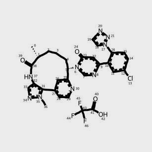 C[C@@H]1CCC[C@H](n2cnc(-c3cc(Cl)ccc3-n3ccnn3)cc2=O)c2cc(ccn2)-c2c(cnn2C)NC1=O.O=C(O)C(F)(F)F